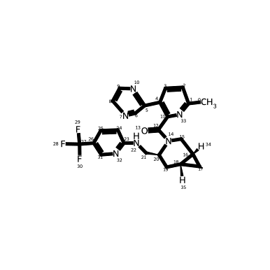 Cc1ccc(-c2cnccn2)c(C(=O)N2C[C@@H]3C[C@@H]3C[C@H]2CNc2ccc(C(F)(F)F)cn2)n1